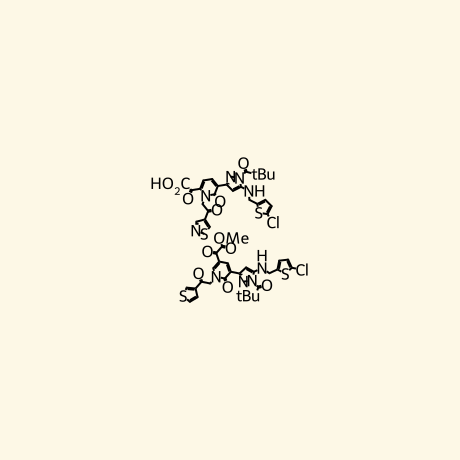 CC(C)(C)C(=O)n1nc(-c2ccc(C(=O)C(=O)O)n(CC(=O)c3cnsc3)c2=O)cc1NCc1ccc(Cl)s1.COC(=O)C(=O)c1cc(-c2cc(NCc3ccc(Cl)s3)n(C(=O)C(C)(C)C)n2)c(=O)n(CC(=O)c2ccsc2)c1